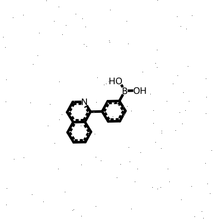 OB(O)c1cccc(-c2nccc3ccccc23)c1